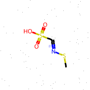 CS/N=C/S(=O)(=O)O